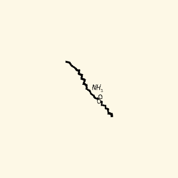 CCCCCCCCCCCCCCCCCC(=O)OCCCCCCCC.N